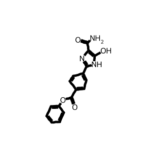 NC(=O)c1nc(-c2ccc(C(=O)Oc3ccccc3)cc2)[nH]c1O